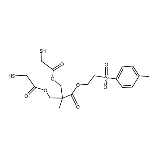 Cc1ccc(S(=O)(=O)CCOC(=O)C(C)(COC(=O)CS)COC(=O)CS)cc1